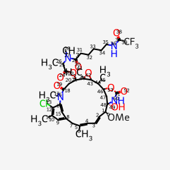 COC1/C=C/C=C(\C)Cc2cc(C)c(Cl)c(c2)N(C)C(=O)CC(OC(=O)[C@H](C)N(C)C(=O)CCCCCNC(=O)C(F)(F)F)[C@]2(C)OC2[C@@H](C)C2C[C@@]1(O)NC(=O)O2